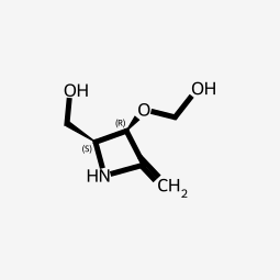 C=C1N[C@@H](CO)[C@H]1OCO